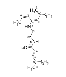 C=C(C)/C=C(\C=C/C)NCCNC(=O)/C=C/C(C)C